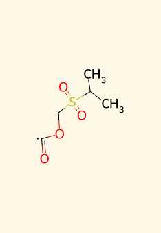 CC(C)S(=O)(=O)CO[C]=O